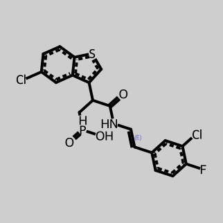 O=C(N/C=C/c1ccc(F)c(Cl)c1)C(C[PH](=O)O)c1csc2ccc(Cl)cc12